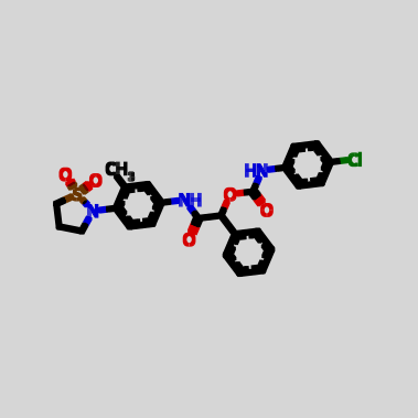 Cc1cc(NC(=O)C(OC(=O)Nc2ccc(Cl)cc2)c2ccccc2)ccc1N1CCCS1(=O)=O